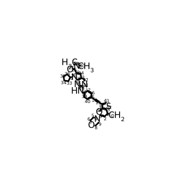 C=C1C=C(N2CCOCC2)Oc2c(C#Cc3ccc(Nc4ncc5cc(C(=O)N(C)C)n(C6CCCC6)c5n4)cc3)csc21